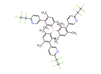 Cc1cc(C)c(-c2ccc(C(F)(F)C(F)(F)F)nc2)c(C)c1B(c1c(C)cc(C)c(-c2ccc(C(F)(F)C(F)(F)F)nc2)c1C)c1c(C)cc(C)c(-c2ccc(C(F)(F)C(F)(F)F)nc2)c1C